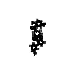 O=C(c1cc(F)ccc1F)N1CCC2(CC1)OC1CCC(c3cccc(F)c3)N1C2=O